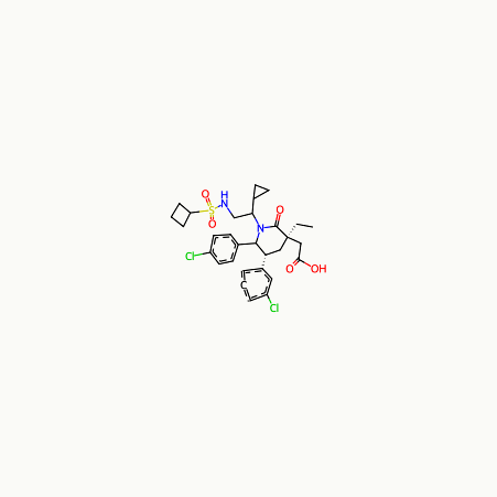 CC[C@]1(CC(=O)O)C[C@H](c2cccc(Cl)c2)C(c2ccc(Cl)cc2)N(C(CNS(=O)(=O)C2CCC2)C2CC2)C1=O